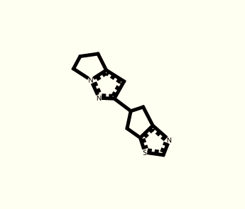 c1nc2c(s1)CC(c1cc3n(n1)CCC3)C2